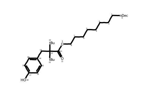 CCCCCCCCCCCCCCCCCCOC(=O)C(Cc1ccc(O)cc1)(C(C)(C)C)C(C)(C)C